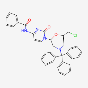 O=C(Nc1ccn(C2CN(C(c3ccccc3)(c3ccccc3)c3ccccc3)CC(CCl)O2)c(=O)n1)c1ccccc1